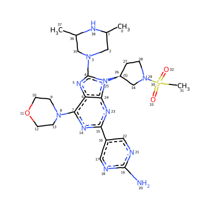 CC1CN(c2nc3c(N4CCOCC4)nc(-c4cnc(N)nc4)nc3n2[C@H]2CCN(S(C)(=O)=O)C2)CC(C)N1